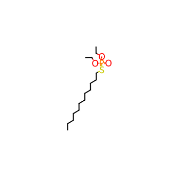 CCCCCCCCCCCCSP(=O)(OCC)OCC